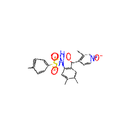 Cc1ccc(S(=O)(=O)Nc2cc(C)c(C)cc2C(=O)c2cc[n+]([O-])cc2C)cc1